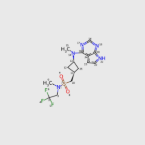 CN(CC(F)(F)F)S(=O)(=O)C[C@H]1C[C@@H](N(C)c2ncnc3[nH]ccc23)C1